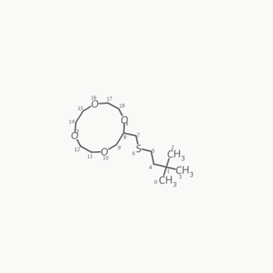 CC(C)(C)CCSCC1COCCOCCOCCO1